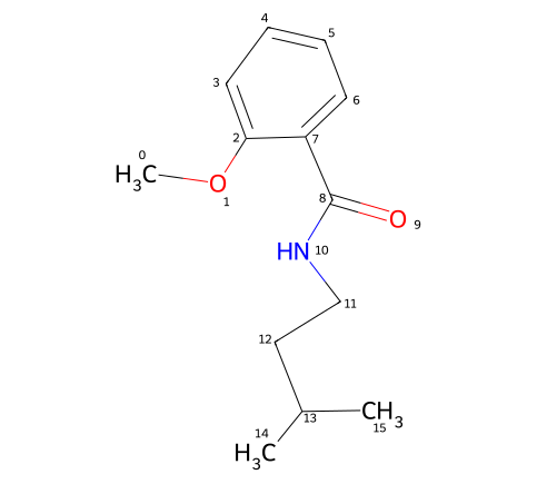 COc1ccccc1C(=O)NCCC(C)C